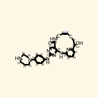 C[C@@]1(O)CC/C=C\CNC(=O)c2cnc(Nc3ccc(N4CCCNCC4)cc3)nc2Nc2cccc1n2